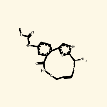 COC(=O)Nc1ccc2c(c1)C(=O)NCC/C=C\C[C@H](N)c1nc-2c[nH]1